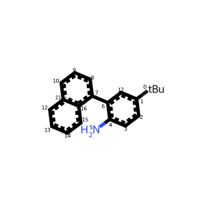 CC(C)(C)c1ccc(N)c(-c2cccc3ccccc23)c1